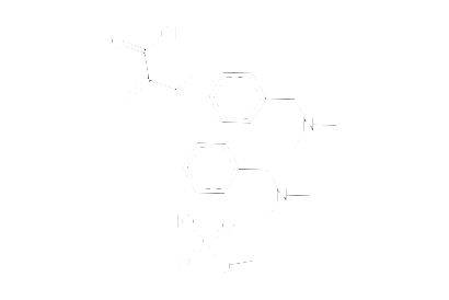 C=C(CC)C(=O)O.CN(C)Cc1ccccc1.CN(C)Cc1ccccc1.COS(=O)(=O)O